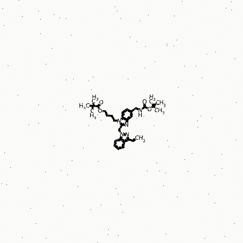 C=Cc1nn(Cc2nc3cc(CNC(=O)OC(C)(C)C)ccc3n2CCCCOC(=O)C(C)(C)C)c2ccccc12